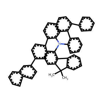 CC1(C)c2ccccc2-c2c(N(c3ccccc3-c3ccc(-c4ccc5ccccc5c4)cc3)c3ccccc3-c3ccccc3-c3ccccc3)cccc21